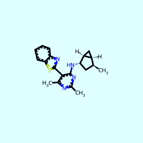 Cc1nc(C)c(-c2nc3ccccc3s2)c(N[C@H]2C[C@H](C)[C@@H]3C[C@@H]32)n1